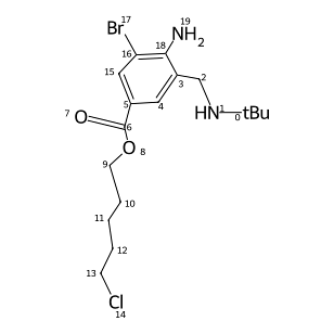 CC(C)(C)NCc1cc(C(=O)OCCCCCCl)cc(Br)c1N